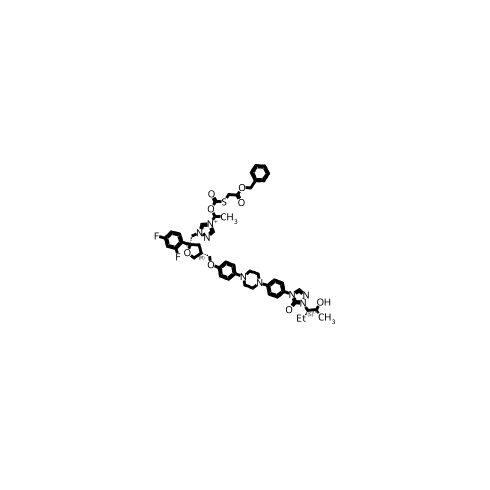 CC[C@@H]([C@H](C)O)n1ncn(-c2ccc(N3CCN(c4ccc(OC[C@@H]5CO[C@@](Cn6c[n+](C(C)OC(=O)SCC(=O)OCc7ccccc7)cn6)(c6ccc(F)cc6F)C5)cc4)CC3)cc2)c1=O